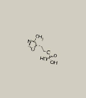 Cc1ncoc1CCOP(=O)(O)O